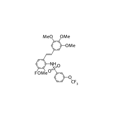 COc1cc(C=Cc2ccc(F)c(OC)c2NS(=O)(=O)c2cccc(OC(F)(F)F)c2)cc(OC)c1OC